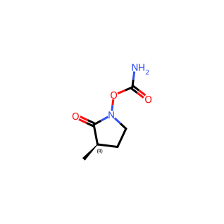 C[C@@H]1CCN(OC(N)=O)C1=O